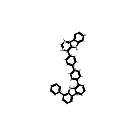 c1ccc(-c2cccc3c2sc2c(-c4ccc(-c5ccc(-c6ncnc7c6sc6ccccc67)cc5)cc4)cccc23)cc1